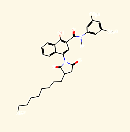 CCCCCCCCCCCCCCCCCCC1CC(=O)N(c2cc(C(=O)N(CC)c3cc(C(=O)O)cc(C(=O)O)c3)c(O)c3ccccc23)C1=O